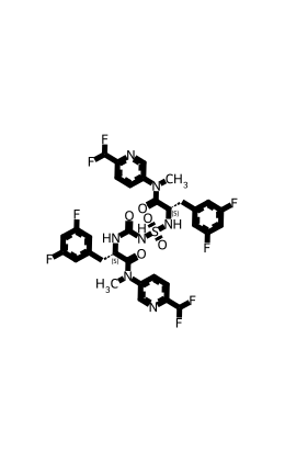 CN(C(=O)[C@H](Cc1cc(F)cc(F)c1)NC(=O)NS(=O)(=O)N[C@@H](Cc1cc(F)cc(F)c1)C(=O)N(C)c1ccc(C(F)F)nc1)c1ccc(C(F)F)nc1